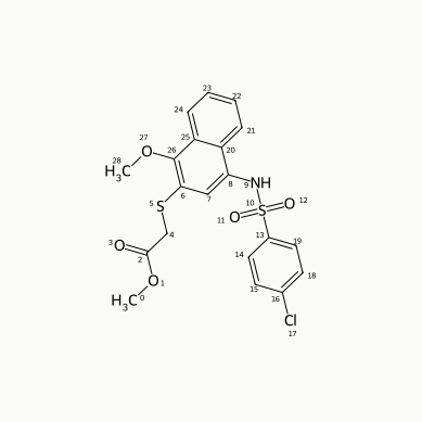 COC(=O)CSc1cc(NS(=O)(=O)c2ccc(Cl)cc2)c2ccccc2c1OC